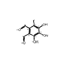 Cc1c(O)c(O)c(O)c(C=O)c1C=O